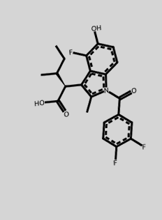 CCC(C)[C@H](C(=O)O)c1c(C)n(C(=O)c2ccc(F)c(F)c2)c2ccc(O)c(F)c12